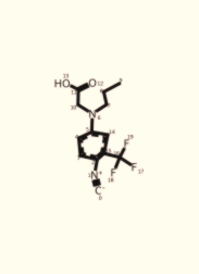 [C-]#[N+]c1ccc(N(CCC)CC(=O)O)cc1C(F)(F)F